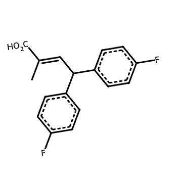 C/C(=C\C(c1ccc(F)cc1)c1ccc(F)cc1)C(=O)O